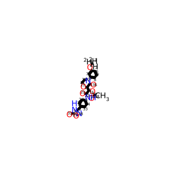 [2H]C([2H])([2H])Oc1cccc(N2CCO[C@H]([C@@H](OC(C)=O)C(=O)Nc3ccc(-c4noc(=O)[nH]4)cc3)C2=O)c1